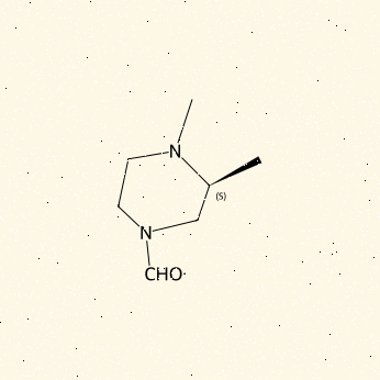 C[C@H]1CN([C]=O)CCN1C